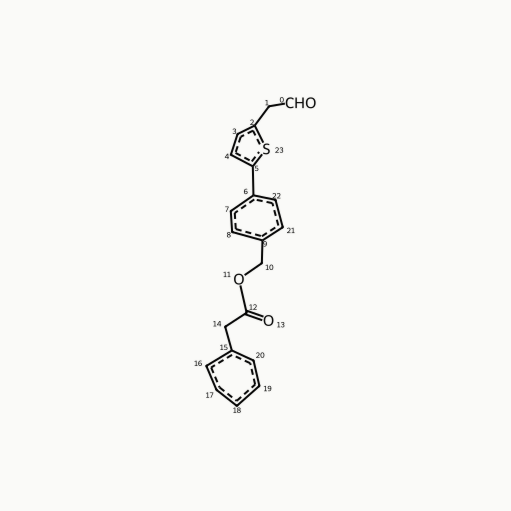 O=CCc1ccc(-c2ccc(COC(=O)Cc3ccccc3)cc2)s1